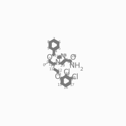 C[C@H](OCc1ccccc1)[C@@H](CCOc1cccc(Cl)c1Cl)n1cnc(C(N)=O)c1